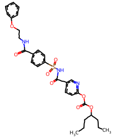 CCCC(CCC)OC(=O)Oc1ccc(C(=O)NS(=O)(=O)c2ccc(C(=O)NCCOc3ccccc3)cc2)cn1